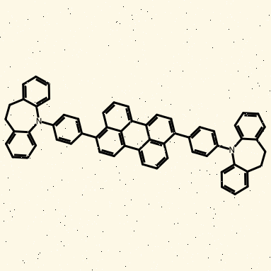 c1ccc2c(c1)CCc1ccccc1N2c1ccc(-c2ccc3c4cccc5c(-c6ccc(N7c8ccccc8CCc8ccccc87)cc6)ccc(c6cccc2c63)c54)cc1